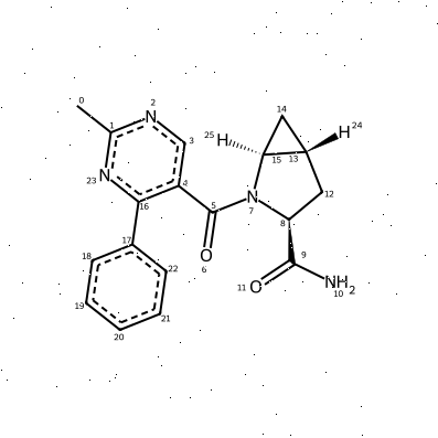 Cc1ncc(C(=O)N2[C@H](C(N)=O)C[C@H]3C[C@@H]32)c(-c2ccccc2)n1